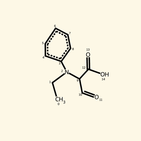 CCN(c1ccccc1)C(C=O)C(=O)O